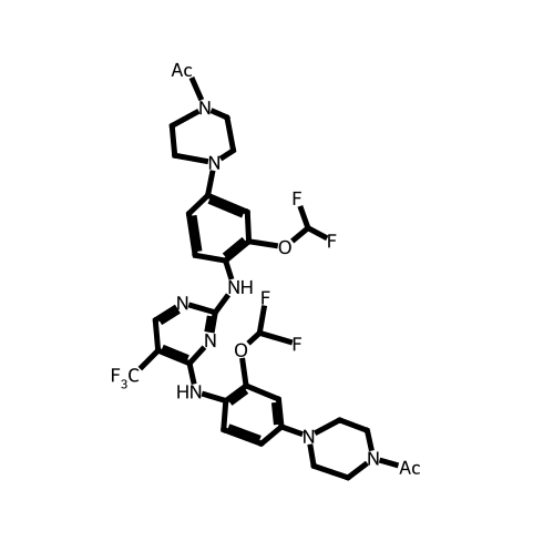 CC(=O)N1CCN(c2ccc(Nc3ncc(C(F)(F)F)c(Nc4ccc(N5CCN(C(C)=O)CC5)cc4OC(F)F)n3)c(OC(F)F)c2)CC1